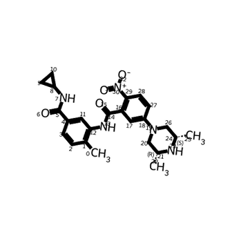 Cc1ccc(C(=O)NC2CC2)cc1NC(=O)c1cc(N2C[C@@H](C)N[C@@H](C)C2)ccc1[N+](=O)[O-]